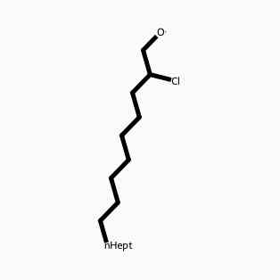 CCCCCCCCCCCCCCC(Cl)C[O]